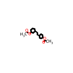 CC(=O)Oc1ccc(/C=C/c2cccc(OC(C)=O)c2)cc1